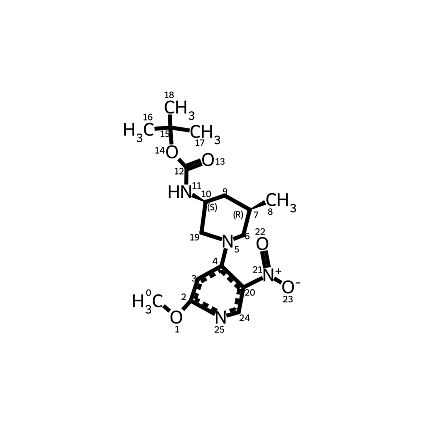 COc1cc(N2C[C@H](C)C[C@H](NC(=O)OC(C)(C)C)C2)c([N+](=O)[O-])cn1